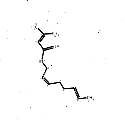 C/C=C/CC/C=C\CNC(=O)C=C(C)C